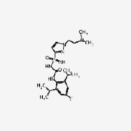 CC(C)c1cc(F)cc(C(C)C)c1NC(=O)NS(=N)(=O)c1ccn(CCN(C)C)n1